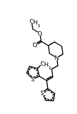 CCOC(=O)C1CCCN(CCC=C(c2cccs2)c2sccc2C)C1